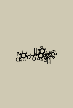 O=C(COc1ccc(F)c(Cl)c1)Nc1ccc(S(=O)(=O)NC2=NCCS2)c2ccccc12